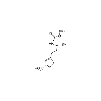 CC(C)C(CCc1nc(C(=O)O)cs1)NC(=O)OC(C)(C)C